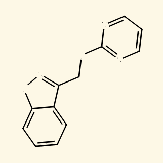 c1cnc(SCc2noc3ccccc23)nc1